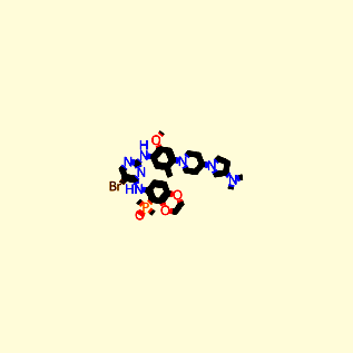 COc1cc(N2CCC(N3CCC(N(C)C)C3)CC2)c(C)cc1Nc1ncc(Br)c(Nc2ccc3c(c2P(C)(C)=O)OCCO3)n1